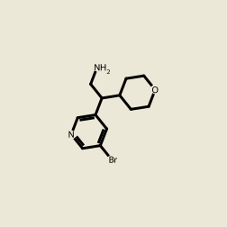 NCC(c1cncc(Br)c1)C1CCOCC1